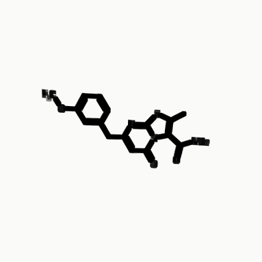 CNC(=O)c1c(C)sc2nc(Cc3cccc(OC(F)(F)F)c3)cc(=O)n12